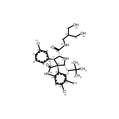 CC(C)(C)C[C@H]1N[C@@H](C(=O)NCC(CO)CO)[C@H](c2cccc(Cl)c2)[C@@]12C(=O)Nc1cc(Cl)c(F)cc12